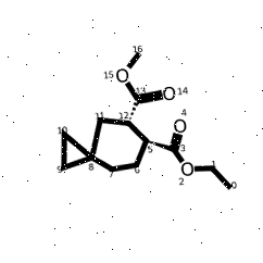 CCOC(=O)[C@H]1CCC2(CC2)C[C@@H]1C(=O)OC